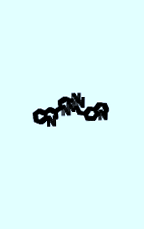 c1cnc2ccc(Cc3nnc4ccc(-c5cnc6ccccc6c5)nn34)cc2c1